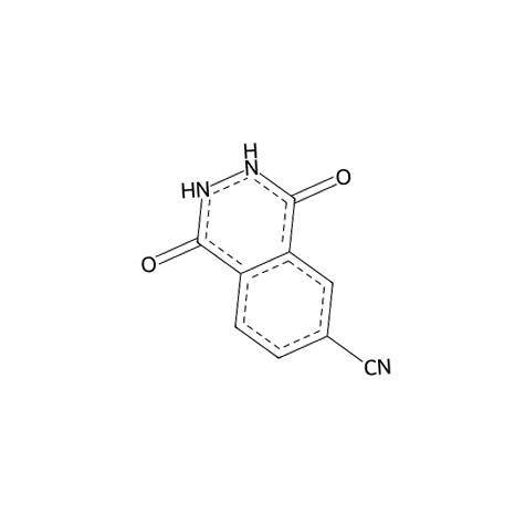 N#Cc1ccc2c(=O)[nH][nH]c(=O)c2c1